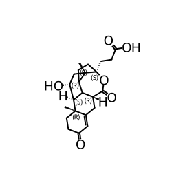 C[C@]12CCC(=O)C=C1C[C@H]1C(=O)O[C@]3(CCC(=O)O)CCC4C1[C@@H]2[C@H](O)C[C@@]43C